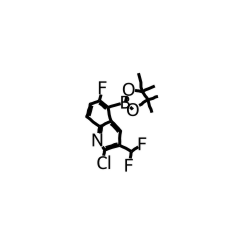 CC1(C)OB(c2c(F)ccc3nc(Cl)c(C(F)F)cc23)OC1(C)C